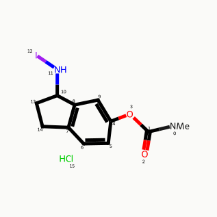 CNC(=O)Oc1ccc2c(c1)C(NI)CC2.Cl